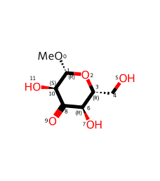 CO[C@@H]1O[C@H](CO)[C@@H](O)C(=O)[C@H]1O